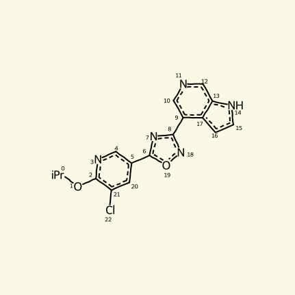 CC(C)Oc1ncc(-c2nc(-c3cncc4[nH]ccc34)no2)cc1Cl